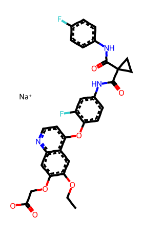 CCOc1cc2c(Oc3ccc(NC(=O)C4(C(=O)Nc5ccc(F)cc5)CC4)cc3F)ccnc2cc1OCC(=O)[O-].[Na+]